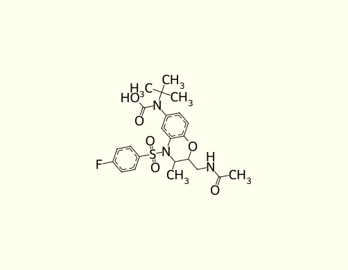 CC(=O)NCC1Oc2ccc(N(C(=O)O)C(C)(C)C)cc2N(S(=O)(=O)c2ccc(F)cc2)C1C